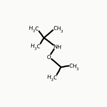 CC(C)ONC(C)(C)C